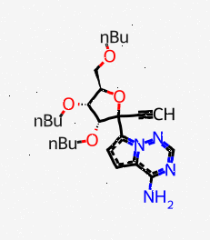 C#CC1(c2ccc3c(N)ncnn23)O[C@H](COCCCC)[C@@H](OCCCC)[C@H]1OCCCC